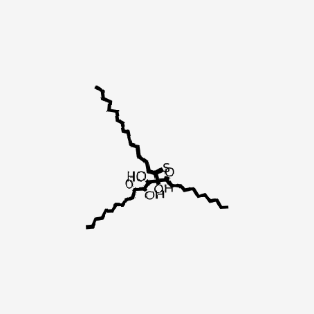 CCCCCCCCCCCCCCCC(=S)C(O)(C(=O)CCCCCCCCCC)C(O)C(O)C(=O)CCCCCCCCCC